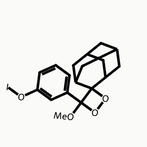 COC1(c2cccc(OI)c2)OOC12C1CC3CC(C1)CC2C3